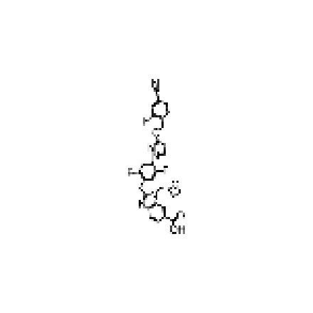 N#Cc1ccc(COc2ccn(-c3cc(F)c(Cc4nc5ccc(C(=O)O)cc5n4C[C@@H]4CCO4)cc3F)n2)c(F)c1